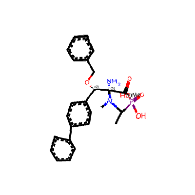 COC(=O)[C@](N)([C@@H](OCc1ccccc1)c1ccc(-c2ccccc2)cc1)N(C)C(C)P(=O)(O)O